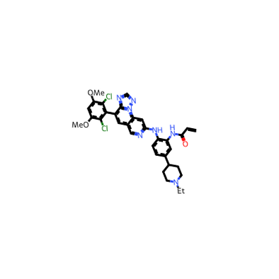 C=CC(=O)Nc1cc(C2CCN(CC)CC2)ccc1Nc1cc2c(cn1)cc(-c1c(Cl)c(OC)cc(OC)c1Cl)c1ncnn12